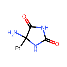 CCC1(N)NC(=O)NC1=O